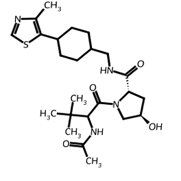 CC(=O)NC(C(=O)N1C[C@H](O)C[C@H]1C(=O)NCC1CCC(c2scnc2C)CC1)C(C)(C)C